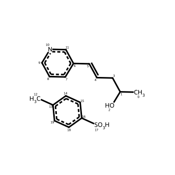 CC(O)C/C=C/c1cccnc1.Cc1ccc(S(=O)(=O)O)cc1